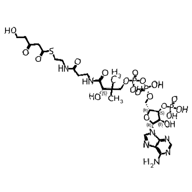 CC(C)(COP(=O)(O)OP(=O)(O)OC[C@H]1O[C@@H](n2cnc3c(N)ncnc32)[C@H](O)[C@@H]1OP(=O)(O)O)[C@H](O)C(=O)NCCC(=O)NCCSC(=O)CC(=O)CCO